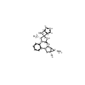 C[C@H]1N(c2ccccc2N2CC3[C@H](N)[C@H]3C2)C(=O)O[C@]12Nc1nocc12